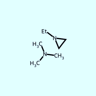 CCN1CC1.CN(C)C